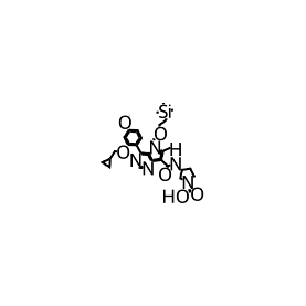 COc1ccc(-c2ncnc3c(C(=O)N[C@@H]4CCN(C(=O)O)C4)c(C)n(COCC[Si](C)(C)C)c23)c(OCC2CC2)c1